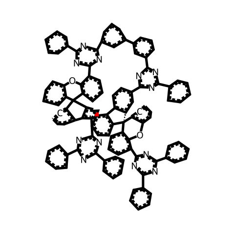 c1ccc(-c2nc(-c3cccc(-c4cccc(-c5nc(-c6ccccc6)nc(-c6cccc7c6Oc6ccccc6C76c7ccccc7-c7c(-c8nc(-c9ccccc9)nc(-c9ccccc9)n8)cccc76)n5)c4)c3)nc(-c3ccc4c(c3)[C@@]3(c5ccccc5Oc5c(-c6nc(-c7ccccc7)nc(-c7ccccc7)n6)cccc53)c3ccccc3-4)n2)cc1